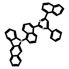 c1ccc(-c2cc(-c3cccc4ccccc34)nc(-c3cccc4c(-n5c6ccccc6c6cc7ccccc7cc65)cccc34)n2)cc1